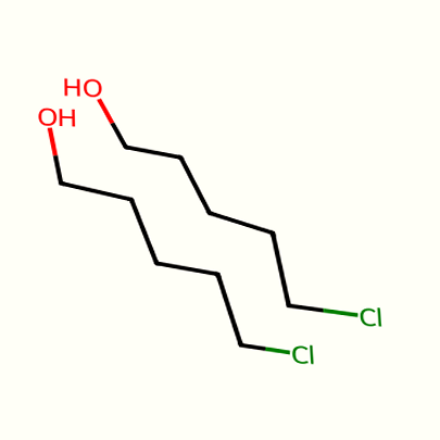 OCCCCCCl.OCCCCCCl